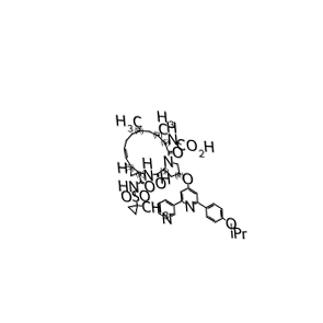 CC(C)Oc1ccc(-c2cc(O[C@@H]3C[C@H]4C(=O)N[C@]5(C(=O)NS(=O)(=O)C6(C)CC6)C[C@H]5C=CCC[C@@H](C)C[C@@H](C)[C@H](NC(=O)O)C(=O)N4C3)cc(-c3cccnc3)n2)cc1